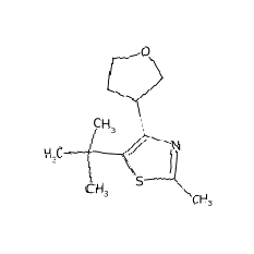 Cc1nc(C2CCOC2)c(C(C)(C)C)s1